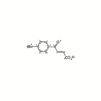 CC(C)(C)c1ccc(C(=O)C=CC(=O)O)cc1